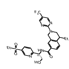 CCC1CN(c2ncc(C(F)(F)F)cn2)Cc2cc(C(=O)N[C@H](CO)c3ccc(S(=O)(=O)CC)cn3)ccc21